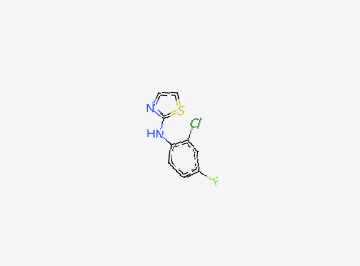 Fc1ccc(Nc2nccs2)c(Cl)c1